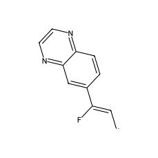 [CH2]/C=C(\F)c1ccc2nccnc2c1